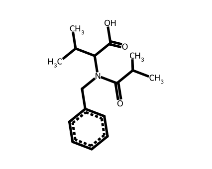 CC(C)C(=O)N(Cc1ccccc1)C(C(=O)O)C(C)C